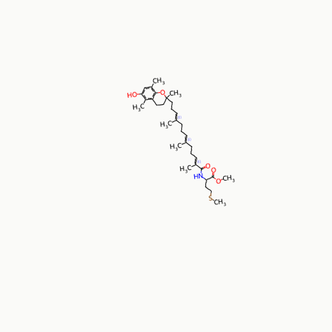 COC(=O)C(CCSC)NC(=O)/C(C)=C/CC/C(C)=C/CC/C(C)=C/CCC1(C)CCc2c(C)c(O)cc(C)c2O1